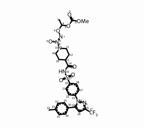 COC(=O)OC(C)ON=[N+]([O-])N1CCC(C(=O)NS(=O)(=O)c2ccc(-n3nc(C(F)(F)F)cc3-c3ccc(C)cc3)cc2)CC1